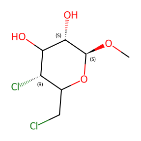 CO[C@H]1OC(CCl)[C@H](Cl)C(O)[C@@H]1O